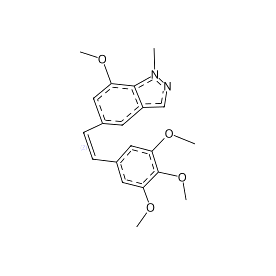 COc1cc(/C=C\c2cc(OC)c3c(cnn3C)c2)cc(OC)c1OC